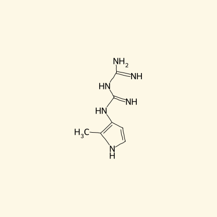 Cc1[nH]ccc1NC(=N)NC(=N)N